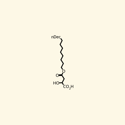 CCCCCCCCCCCCCCCCCCOC(=O)CC(O)C(=O)O